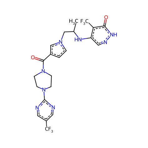 CC(Cn1ccc(C(=O)N2CCN(c3ncc(C(F)(F)F)cn3)CC2)c1)Nc1cn[nH]c(=O)c1C(F)(F)F